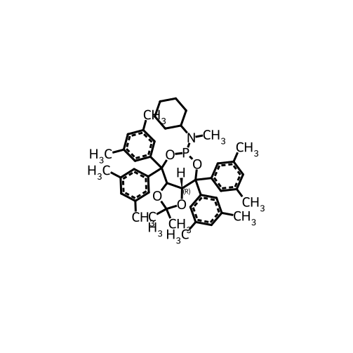 Cc1cc(C)cc(C2(c3cc(C)cc(C)c3)OP(N(C)C3CCCCC3)OC(c3cc(C)cc(C)c3)(c3cc(C)cc(C)c3)[C@@H]3OC(C)(C)OC32)c1